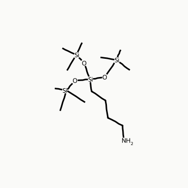 C[Si](C)(C)O[Si](CCCCN)(O[Si](C)(C)C)O[Si](C)(C)C